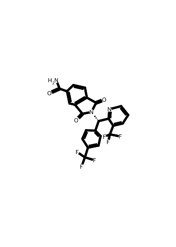 NC(=O)c1ccc2c(c1)C(=O)N([C@@H](c1ccc(C(F)(F)F)cc1)c1ncccc1C(F)(F)F)C2=O